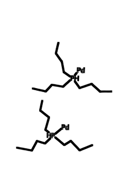 CCCC[PH]([Pd])(CCCC)CCCC.CCCC[PH]([Pd])(CCCC)CCCC